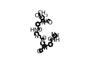 CC(=O)N1CCc2c(c(-c3cccc(C(=O)Nc4ccnc(CCC(=O)N5CCc6c(c(-c7cccc(C(=O)Nc8cncnc8)c7)nn6C6CCOC6)C5)c4)c3)nn2C2CCOC2)C1